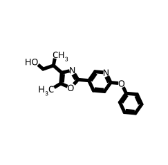 Cc1oc(-c2ccc(Oc3ccccc3)nc2)nc1C(C)CO